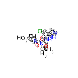 CC1(C)CN(CC(=O)N2CCC(C)(C(=O)O)CC2)[C@H](C(=O)Nc2cc(Cl)cc3c2[nH]c2cnccc23)CO1